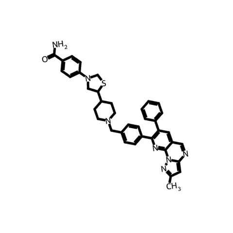 Cc1cc2ncc3cc(-c4ccccc4)c(-c4ccc(CN5CCC(C6CN(c7ccc(C(N)=O)cc7)CS6)CC5)cc4)nc3n2n1